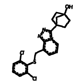 OC12CCC(c3nnc4c(CSc5c(Cl)cccc5Cl)cccn34)(CC1)C2